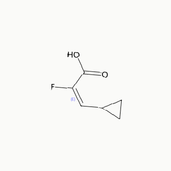 O=C(O)/C(F)=C\C1CC1